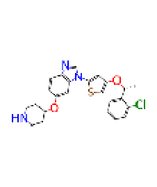 C[C@@H](Oc1csc(-n2cnc3ccc(OC4CCNCC4)cc32)c1)c1ccccc1Cl